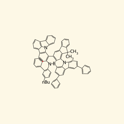 CCCCc1ccc(N2B3c4c(cc5c(c4-n4c6ccc(-c7ccccc7)cc6c6cc(-c7ccccc7)cc3c64)C(C)(C)c3ccccc3-5)-c3c2ccc2c4cccc5c6ccccc6n(c32)c54)c(-c2ccccc2)c1